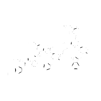 CNC(=N)NCCC[C@H](NC(=O)[C@@H](CCCNC(=O)[C@H](Cc1ccccc1)NC(=O)[C@@H](NC(=O)[C@H](CC(N)=O)NC(=O)[C@@H]1C[C@@H](O)CN1C(=O)[C@@H](Cc1ccc(O)cc1)NC(C)=O)[C@@H](C)O)CC(C)C)C(=O)N[C@@H](Cc1c[nH]c2ccccc12)C(N)=O